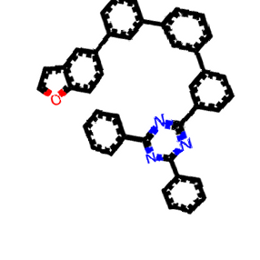 c1ccc(-c2nc(-c3ccccc3)nc(-c3cccc(-c4cccc(-c5cccc(-c6ccc7occc7c6)c5)c4)c3)n2)cc1